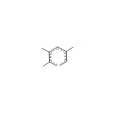 CCCCCc1cnc(N)c(CCCCC)c1